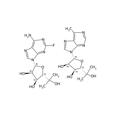 CC(C)(O)[C@H]1O[C@@H](n2cnc3c(N)nc(F)nc32)[C@H](O)[C@@H]1O.Cc1ncnc2c1ncn2[C@@H]1O[C@H](C(C)(C)O)[C@@H](O)[C@H]1O